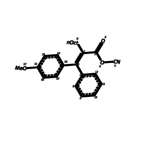 CCCCCCCCC(C(=O)OC#N)=C(c1ccccc1)c1ccc(OC)cc1